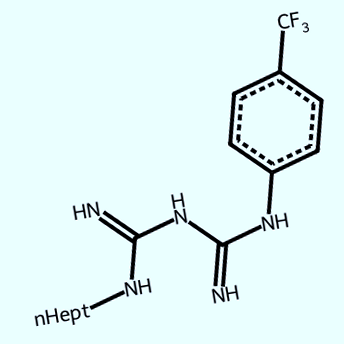 CCCCCCCNC(=N)NC(=N)Nc1ccc(C(F)(F)F)cc1